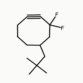 CC(C)(C)CC1CCCC#CC(F)(F)C1